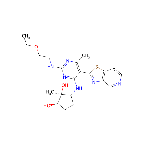 CCOCCNc1nc(C)c(-c2nc3cnccc3s2)c(N[C@@H]2CC[C@@H](O)[C@@]2(C)O)n1